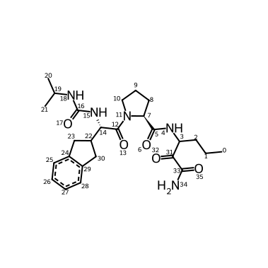 CCCC(NC(=O)[C@@H]1CCCN1C(=O)[C@@H](NC(=O)NC(C)C)C1Cc2ccccc2C1)C(=O)C(N)=O